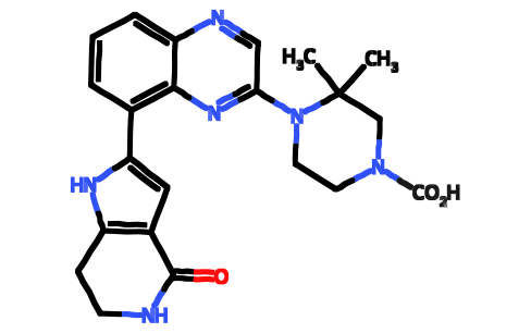 CC1(C)CN(C(=O)O)CCN1c1cnc2cccc(-c3cc4c([nH]3)CCNC4=O)c2n1